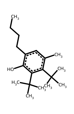 CCCCc1cc(C)c(C(C)(C)C)c(C(C)(C)C)c1O